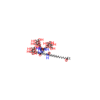 CCC(=O)CCCCCCCCCCCCCCC(=O)NCCCC[C@@H](C(=O)NCCO[C@H]1O[C@H](CO)[C@@H](O)[C@H](O)[C@@H]1O)N(CC(=O)NCCO[C@H]1O[C@H](CO)[C@@H](O)[C@H](O)[C@@H]1O)CC(=O)NCCO[C@H]1O[C@H](CO)[C@@H](O)[C@H](O)[C@@H]1O